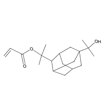 C=CC(=O)OC(C)(C)C1C2CC3CC1CC(C(C)(C)O)(C3)C2